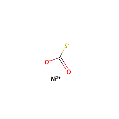 O=C([O-])[S-].[Ni+2]